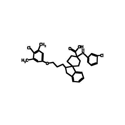 Cc1cc(OCCCC2Cc3ccccc3C23CCC(Nc2cccc(Cl)c2)(C(=O)O)CC3)cc(C)c1Cl